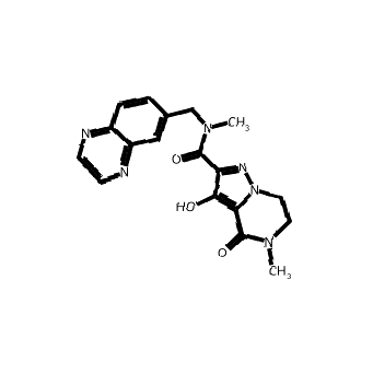 CN(Cc1ccc2nccnc2c1)C(=O)c1nn2c(c1O)C(=O)N(C)CC2